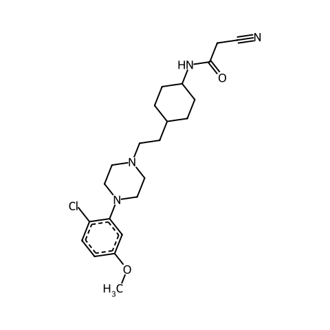 COc1ccc(Cl)c(N2CCN(CCC3CCC(NC(=O)CC#N)CC3)CC2)c1